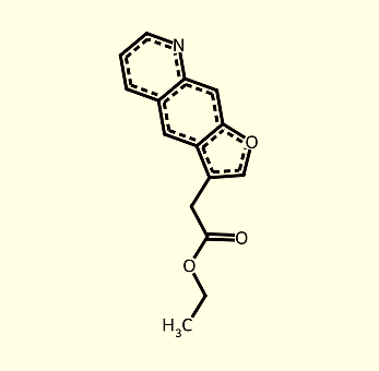 CCOC(=O)Cc1coc2cc3ncccc3cc12